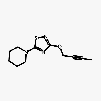 CC#CCOc1nsc(N2CCCCC2)n1